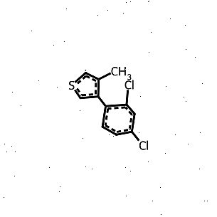 Cc1[c]scc1-c1ccc(Cl)cc1Cl